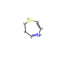 C1=CSCCC=N1